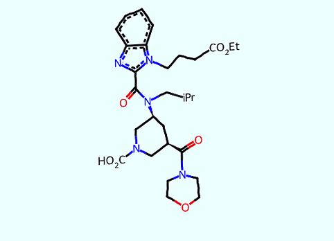 CCOC(=O)CCCn1c(C(=O)N(CC(C)C)[C@H]2C[C@@H](C(=O)N3CCOCC3)CN(C(=O)O)C2)nc2ccccc21